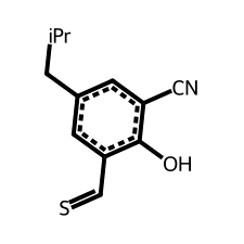 CC(C)Cc1cc(C#N)c(O)c(C=S)c1